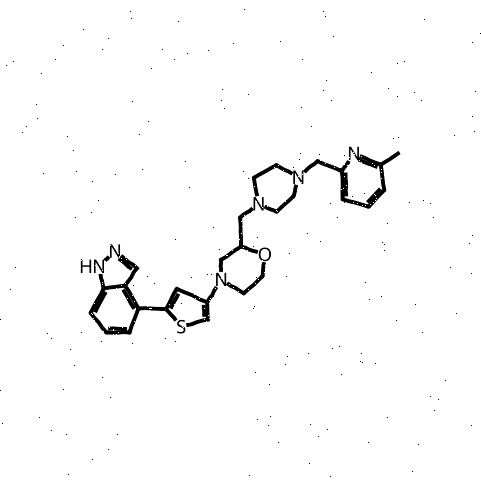 Cc1cccc(CN2CCN(CC3CN(c4csc(-c5cccc6[nH]ncc56)c4)CCO3)CC2)n1